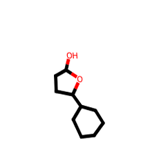 OC1CCC(C2CCCCC2)O1